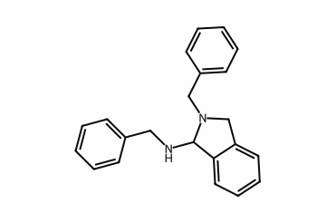 c1ccc(CNC2c3ccccc3CN2Cc2ccccc2)cc1